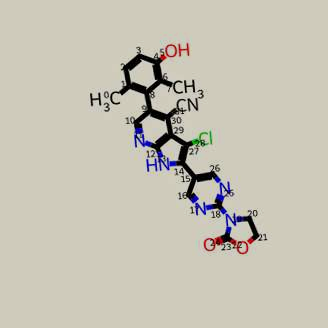 Cc1ccc(O)c(C)c1-c1cnc2[nH]c(-c3cnc(N4CCOC4=O)nc3)c(Cl)c2c1C#N